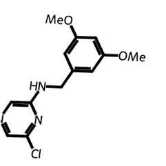 COc1cc(CNc2cncc(Cl)n2)cc(OC)c1